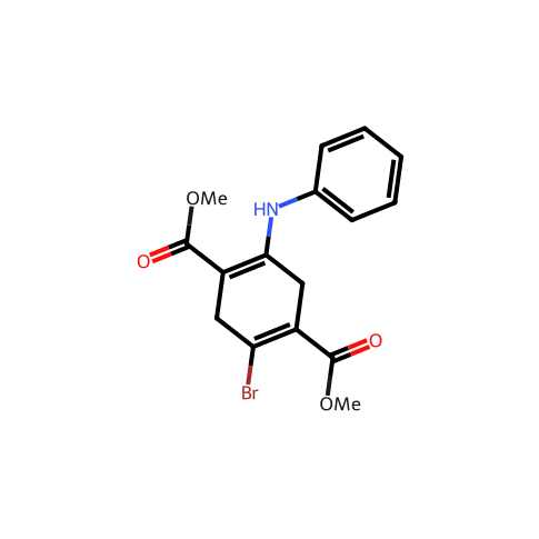 COC(=O)C1=C(Br)CC(C(=O)OC)=C(Nc2ccccc2)C1